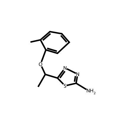 Cc1ccccc1OC(C)c1nnc(N)s1